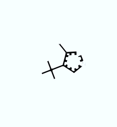 CC(C)(C)c1cnoc1I